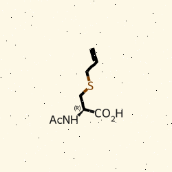 C=CCSC[C@H](NC(C)=O)C(=O)O